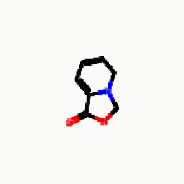 O=C1OCN2CC=CC=C12